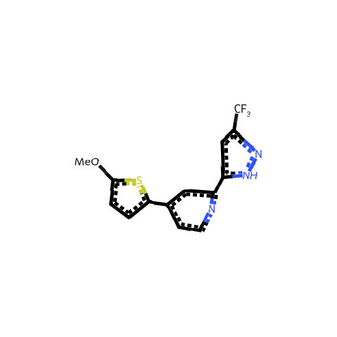 COc1ccc(-c2ccnc(-c3cc(C(F)(F)F)n[nH]3)c2)s1